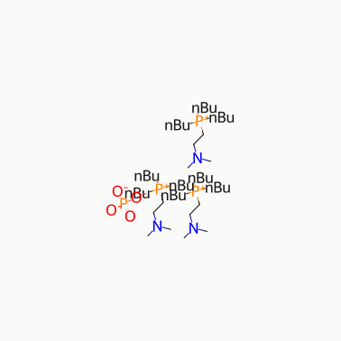 CCCC[P+](CCCC)(CCCC)CCN(C)C.CCCC[P+](CCCC)(CCCC)CCN(C)C.CCCC[P+](CCCC)(CCCC)CCN(C)C.O=P([O-])([O-])[O-]